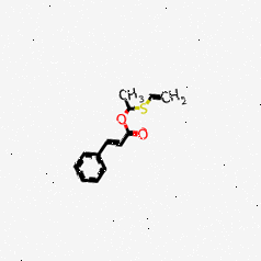 C=CSC(C)OC(=O)C=Cc1ccccc1